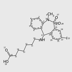 CN1c2ccccc2C(NCCCCCCC(=O)O)c2ccc(I)cc2S1(=O)=O